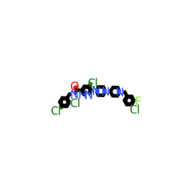 O=C(NCc1ccc(Cl)cc1Cl)c1cnc(N2CCN(C3CCN(Cc4ccc(Cl)c(F)c4)CC3)CC2)c(Cl)c1